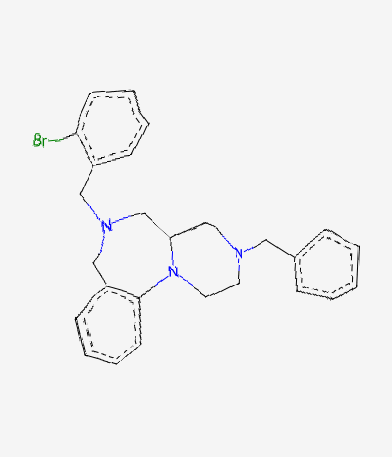 Brc1ccccc1CN1Cc2ccccc2N2CCN(Cc3ccccc3)CC2C1